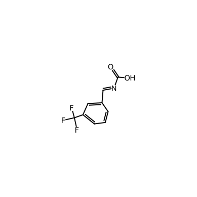 O=C(O)N=Cc1cccc(C(F)(F)F)c1